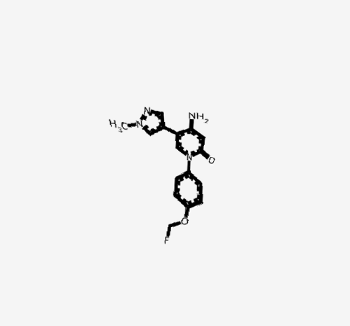 Cn1cc(-c2cn(-c3ccc(OCF)cc3)c(=O)cc2N)cn1